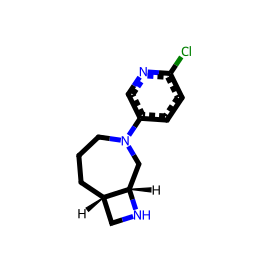 Clc1ccc(N2CCC[C@H]3CN[C@H]3C2)cn1